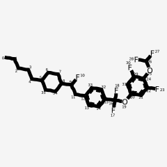 CCCCCC1CCC(C(F)Cc2ccc(C(F)(F)Oc3cc(F)c(OC(F)F)c(F)c3)cc2)CC1